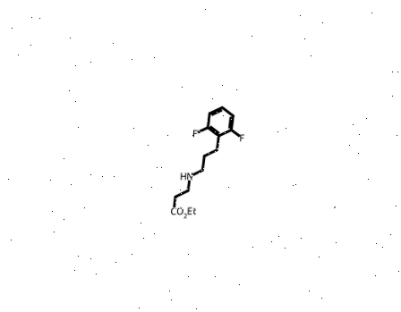 CCOC(=O)CCNCCCc1c(F)cccc1F